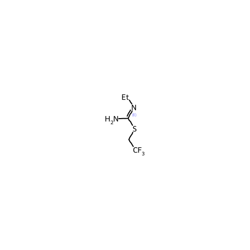 CC/N=C(\N)SCC(F)(F)F